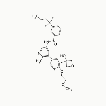 CCCC(F)(F)c1cccc(C(=O)Nc2cnc(C)c(-c3cnc(OCCOC)c(C4(O)COC4)c3)c2)c1